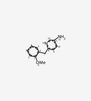 COc1ccccc1Cc1ccc(N)cn1